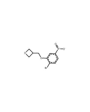 O=[N+]([O-])c1ccc(Br)c(OCC2COC2)c1